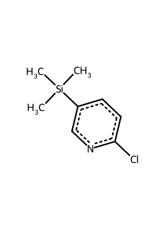 C[Si](C)(C)c1ccc(Cl)nc1